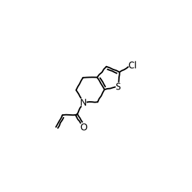 C=CC(=O)N1CCc2cc(Cl)sc2C1